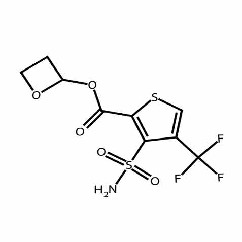 NS(=O)(=O)c1c(C(F)(F)F)csc1C(=O)OC1CCO1